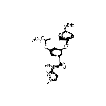 CCSc1ccc(Oc2cc(OC(C)C(=O)O)cc(C(=O)Nc3ccn(C)n3)c2)cn1